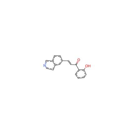 O=C(C=Cc1ccc2cnccc2c1)c1ccccc1O